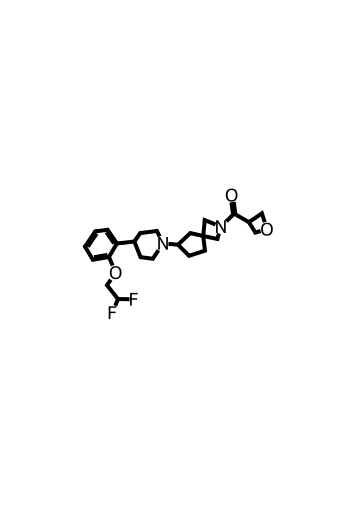 O=C(C1COC1)N1CC2(CCC(N3CCC(c4ccccc4OCC(F)F)CC3)C2)C1